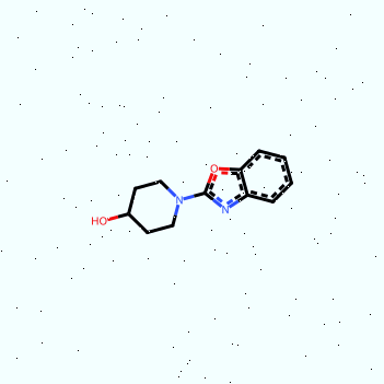 OC1CCN(c2nc3ccccc3o2)CC1